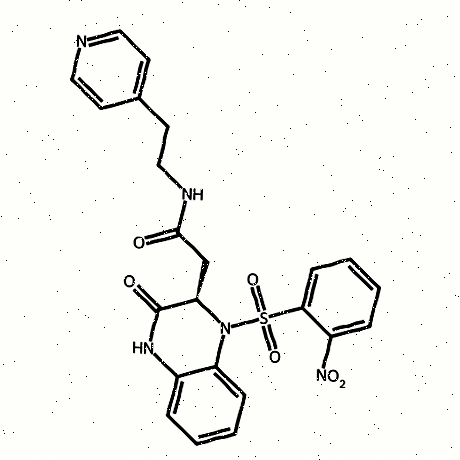 O=C(C[C@@H]1C(=O)Nc2ccccc2N1S(=O)(=O)c1ccccc1[N+](=O)[O-])NCCc1ccncc1